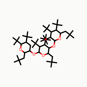 CC(C)(C)CC1OC(C(C)(C)C)C(C(C)(C)C)CC1OC1OC(CC(C)(C)C)C(OC2OC(CC(C)(C)C)C(C(C)(C)C)C(C(C)(C)C)C2C(C)(C)C)C(C(C)(C)C)C1C(C)(C)C